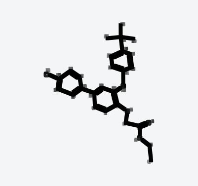 CCOC(=O)COc1ccc(-c2ccc(Cl)cc2)cc1Oc1ccc(C(C)(C)C)cc1